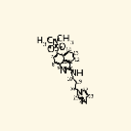 CN(C)S(=O)(=O)c1ccc2c3c(cccc13)C(NCCCn1ccnc1)=N2